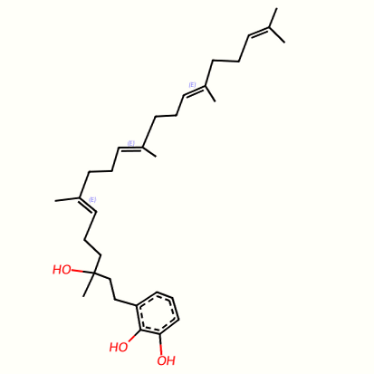 CC(C)=CCC/C(C)=C/CC/C(C)=C/CC/C(C)=C/CCC(C)(O)CCc1cccc(O)c1O